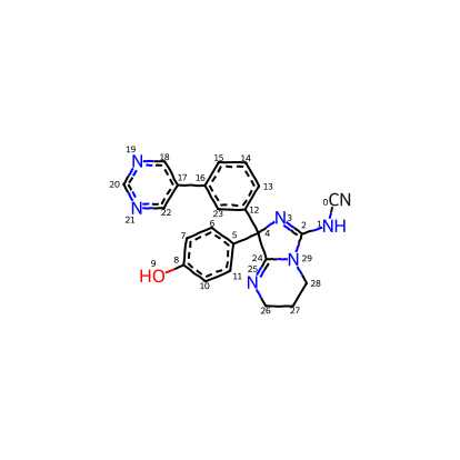 N#CNC1=NC(c2ccc(O)cc2)(c2cccc(-c3cncnc3)c2)C2=NCCCN12